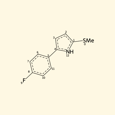 CSc1ccc(-c2ccc(F)cc2)[nH]1